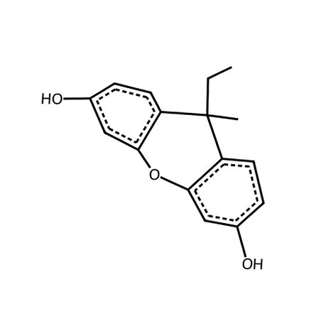 CCC1(C)c2ccc(O)cc2Oc2cc(O)ccc21